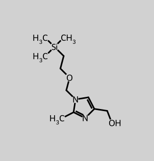 Cc1nc(CO)cn1COCC[Si](C)(C)C